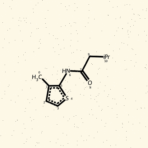 Cc1ccsc1NC(=O)CC(C)C